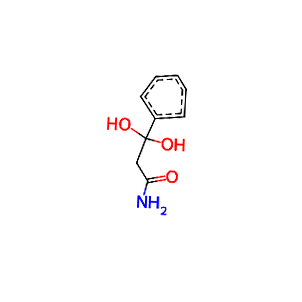 NC(=O)CC(O)(O)c1ccccc1